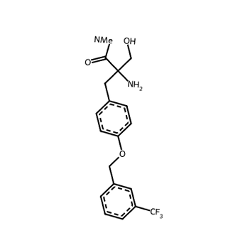 CNC(=O)C(N)(CO)Cc1ccc(OCc2cccc(C(F)(F)F)c2)cc1